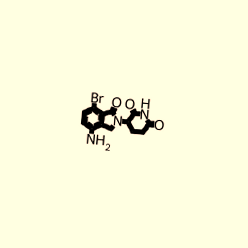 Nc1ccc(Br)c2c1CN(C1CCC(=O)NC1=O)C2=O